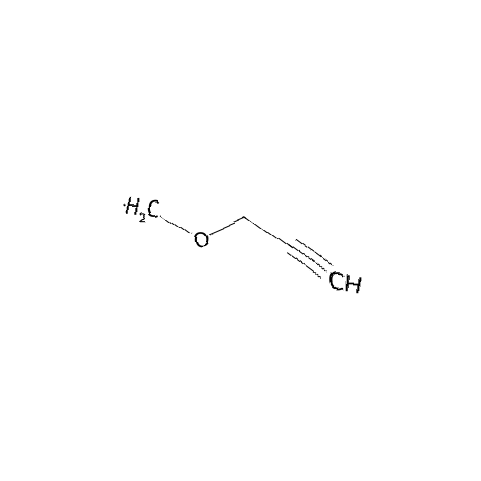 C#CCO[CH2]